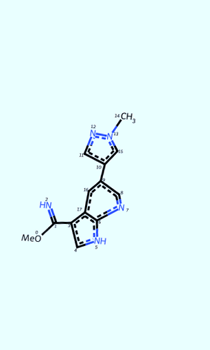 COC(=N)c1c[nH]c2ncc(-c3cnn(C)c3)cc12